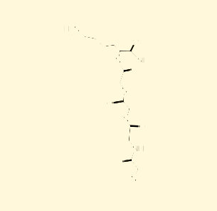 NCCCC[C@H](NC(=O)CNC(=O)CNC(=O)CNC(=O)CN)C(N)=O